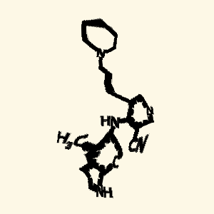 Cc1c(Nc2c(C#N)cncc2C=CCN2CCCCC2)ccc2[nH]ccc12